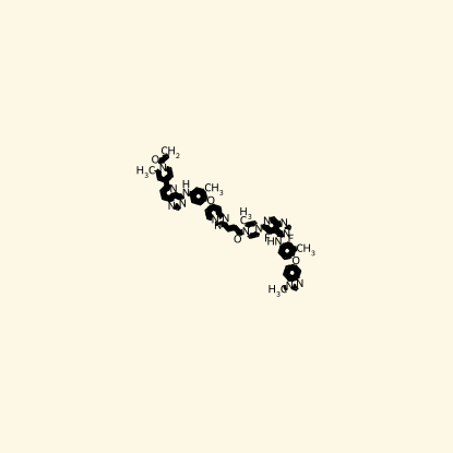 C=CC(=O)N1CC=C(c2ccc3ncnc(Nc4ccc(Oc5ccn6nc(/C=C/C(=O)N7CCN(c8ncc9ncnc(Nc%10ccc(Oc%11ccc%12c(c%11)ncn%12C)c(C)c%10F)c9c8F)C[C@H]7C)nc6c5)c(C)c4)c3n2)C[C@@H]1C